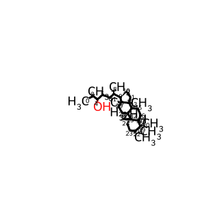 CC(C)C(O)CC[C@@H](C)[C@H]1CC[C@@]2(C)[C@@H]3CC[C@H]4C(C)(C)[C@@H](C)CC[C@@]45C[C@@]35CC[C@]12C